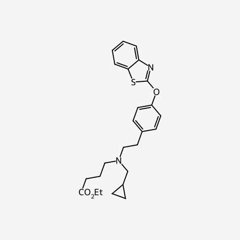 CCOC(=O)CCCN(CCc1ccc(Oc2nc3ccccc3s2)cc1)CC1CC1